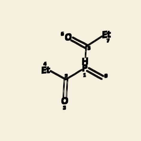 C=[PH](C(=O)CC)C(=O)CC